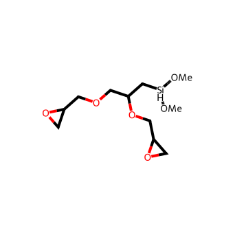 CO[SiH](CC(COCC1CO1)OCC1CO1)OC